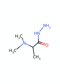 CC(C(=O)NN)N(C)C